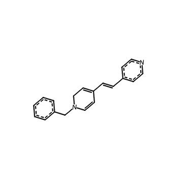 C(=Cc1ccncc1)C1=CCN(Cc2ccccc2)C=C1